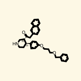 O=C(Cc1ccc2ccccc2c1)[C@H]1CNCC[C@@H]1c1ccc(OCCCOCc2ccccc2)cc1